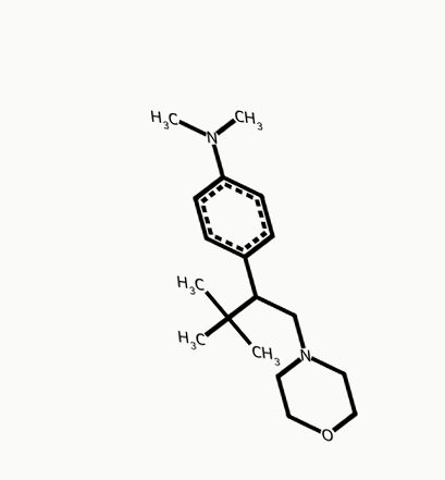 CN(C)c1ccc(C(CN2CCOCC2)C(C)(C)C)cc1